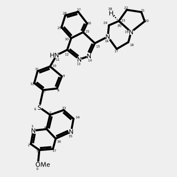 COc1cnc2c(Sc3ccc(Nc4nnc(N5CCN6CCC[C@@H]6C5)c5ccccc45)cc3)ccnc2c1